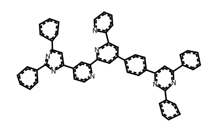 c1ccc(-c2cc(-c3ccc(-c4cc(-c5ccccn5)nc(-c5cc(-c6cc(-c7ccccc7)nc(-c7ccccc7)n6)ccn5)c4)cc3)nc(-c3ccccc3)n2)cc1